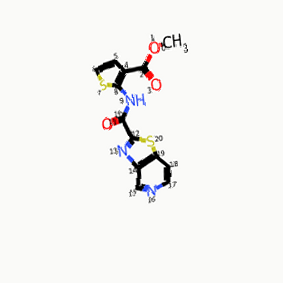 COC(=O)c1ccsc1NC(=O)c1nc2cnccc2s1